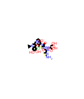 Nc1nc(/C(=N/O[C@@H](CC(=O)O)C(=O)O)C(=O)N[C@@H]2C(=O)N3C(C(=O)[O-])=C(C[N+]4(Cc5cn(C6CC6)c6cc(O)c(O)c(Cl)c6c5=O)CCCC4)CS[C@H]23)cs1